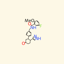 COc1ccc(F)cc1C(=O)NCc1ccc(C2CC(=O)CCC2c2cn[nH]c2)cc1